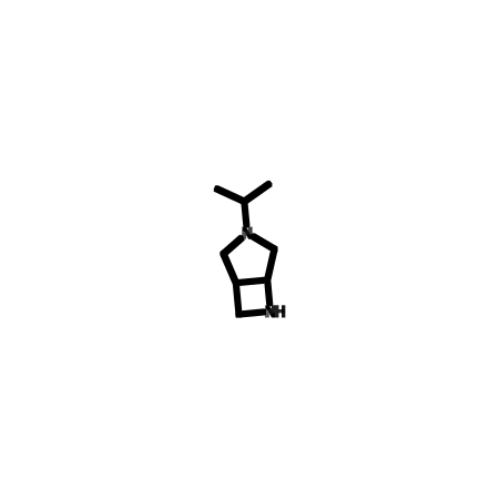 CC(C)N1CC2CNC2C1